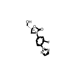 O=C1O[C@@H](CO)CN1c1ccc(-n2nccn2)c(F)c1